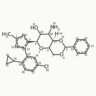 Cc1nc([C@@H]2OC3COC(c4ccccc4)O[C@@H]3C(N)C2O)n(-c2cc(Cl)ccc2C2CC2)n1